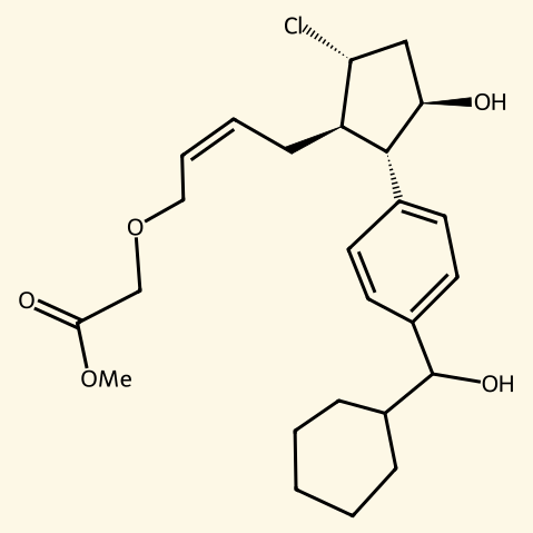 COC(=O)COC/C=C\C[C@@H]1[C@@H](c2ccc(C(O)C3CCCCC3)cc2)[C@H](O)C[C@H]1Cl